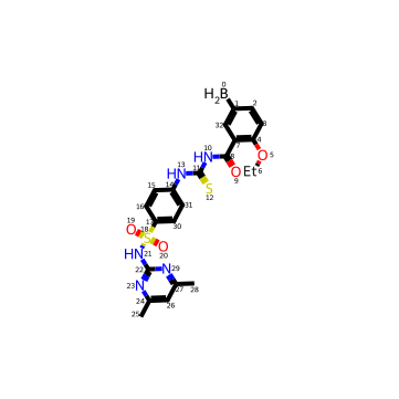 Bc1ccc(OCC)c(C(=O)NC(=S)Nc2ccc(S(=O)(=O)Nc3nc(C)cc(C)n3)cc2)c1